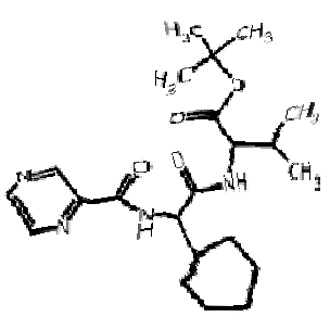 CC(C)C(NC(=O)C(NC(=O)c1cnccn1)C1CCCCC1)C(=O)OC(C)(C)C